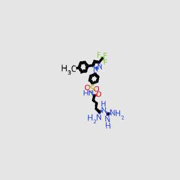 Cc1ccc(-c2cc(C(F)(F)F)nn2-c2ccc(S(=O)(=O)NC(=O)CCCC(N)NC(=N)N)cc2)cc1